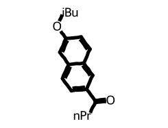 CCCC(=O)c1ccc2cc(OC(C)CC)ccc2c1